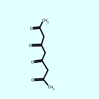 CC(=O)CC(=O)CC(=O)CC(C)=O